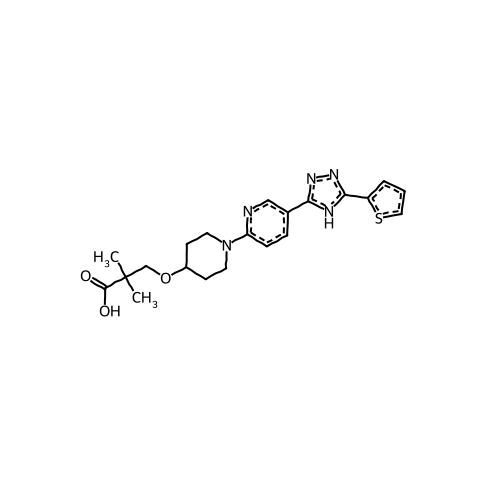 CC(C)(COC1CCN(c2ccc(-c3nnc(-c4cccs4)[nH]3)cn2)CC1)C(=O)O